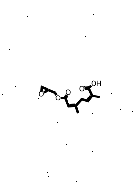 CC(=CC(=O)OCC1CO1)CC=C(C)C(=O)O